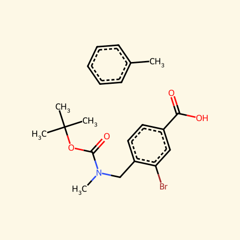 CN(Cc1ccc(C(=O)O)cc1Br)C(=O)OC(C)(C)C.Cc1ccccc1